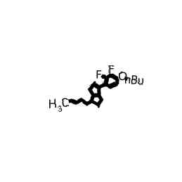 C/C=C/CCC1CCC2C(c3ccc(OCCCC)c(F)c3F)=CCC12